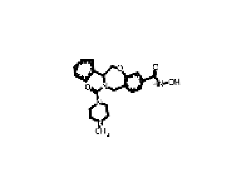 CN1CCN(C(=O)N2Cc3ccc(C(=O)NO)cc3OCC2c2ccccc2)CC1